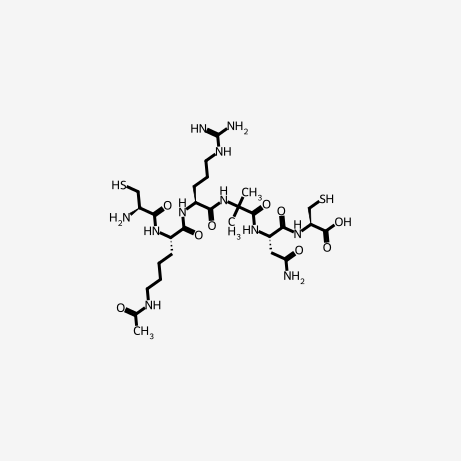 CC(=O)NCCCC[C@H](NC(=O)[C@@H](N)CS)C(=O)N[C@@H](CCCNC(=N)N)C(=O)NC(C)(C)C(=O)N[C@@H](CC(N)=O)C(=O)N[C@@H](CS)C(=O)O